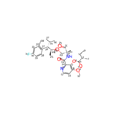 CCC(C)C(=O)Oc1c(OC)ccnc1C(=O)N[C@@](C)(C=O)CO[C@@H](C)[C@H](c1ccc(F)cc1C)C(C)C